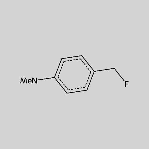 CNc1ccc(CF)cc1